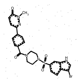 Cn1nc(-c2ccc(C(=O)N3CCN(S(=O)(=O)c4ccc5c(Br)c[nH]c5c4)CC3)cc2)ccc1=O